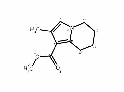 COC(=O)c1c(C)cn2c1CCCC2